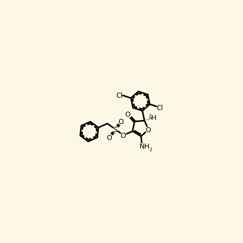 [2H][C@]1(c2cc(Cl)ccc2Cl)OC(N)=C(OS(=O)(=O)Cc2ccccc2)C1=O